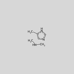 CNC.Cc1cnc[nH]1